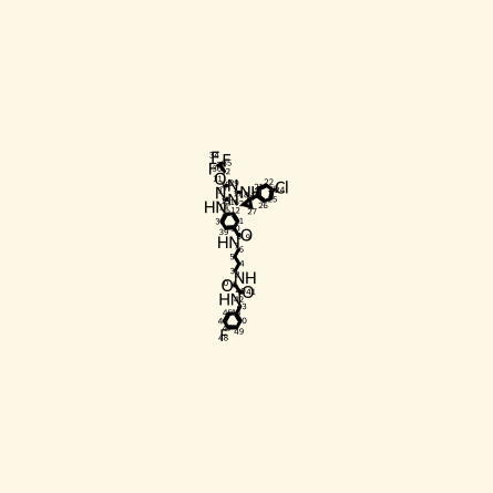 O=C(NCCCCNC(=O)c1ccc(Nc2nc(NC3(c4ccc(Cl)cc4)CC3)nc(OCC(F)(F)F)n2)cc1)C(=O)NCc1ccc(F)cc1